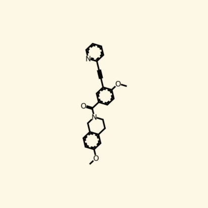 COc1ccc2c(c1)CCN(C(=O)c1ccc(OC)c(C#Cc3ccccn3)c1)C2